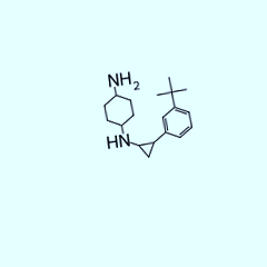 CC(C)(C)c1cccc(C2CC2NC2CCC(N)CC2)c1